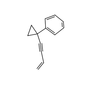 C=CC#CC1(c2ccccc2)CC1